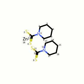 S=C([S-])N1CCCCC1.S=C([S-])N1CCCCC1.[Zn+2]